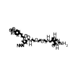 [N-]=[N+]=NC1C[C@@H](C(=O)NCCOCCOCCNCc2c[nH]c3nc(N)[nH]c(=O)c23)N(C(=O)CCc2ccc(S(=O)(=O)F)cc2)C1